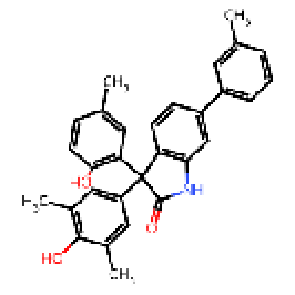 Cc1cccc(-c2ccc3c(c2)NC(=O)C3(c2cc(C)c(O)c(C)c2)c2cc(C)ccc2O)c1